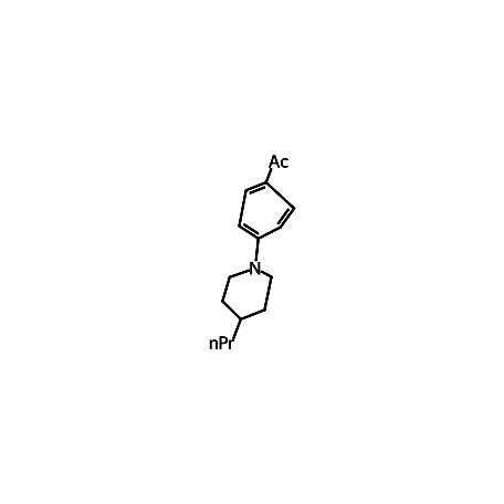 CCCC1CCN(c2ccc(C(C)=O)cc2)CC1